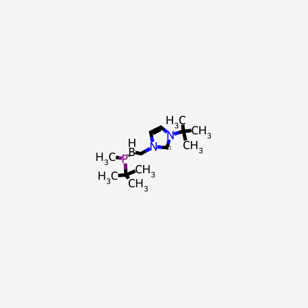 CP(BCN1[C]N(C(C)(C)C)C=C1)C(C)(C)C